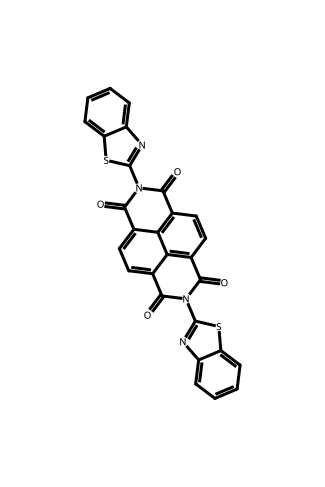 O=C1c2ccc3c4c(ccc(c24)C(=O)N1c1nc2ccccc2s1)C(=O)N(c1nc2ccccc2s1)C3=O